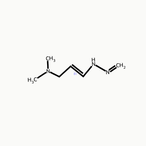 C=NN/C=C/CN(C)C